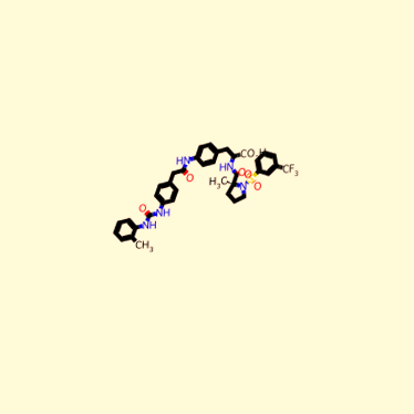 Cc1ccccc1NC(=O)Nc1ccc(CC(=O)Nc2ccc(CC(NC(=O)[C@]3(C)CCCN3S(=O)(=O)c3cccc(C(F)(F)F)c3)C(=O)O)cc2)cc1